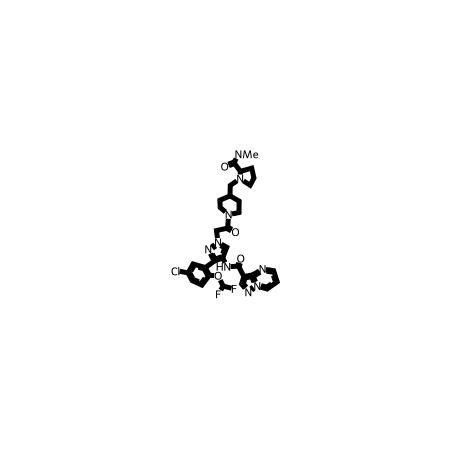 CNC(=O)C1CCCN1CC1CCN(C(=O)Cn2cc(NC(=O)c3cnn4cccnc34)c(-c3cc(Cl)ccc3OC(F)F)n2)CC1